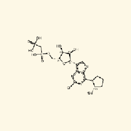 CC(C)(C)[C@H]1CCCN1c1nc(Cl)nn2c([C@@H]3O[C@H](COP(=O)(O)CP(=O)(O)O)[C@@H](O)[C@H]3O)cnc12